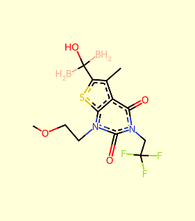 BC(B)(O)c1sc2c(c1C)c(=O)n(CC(F)(F)F)c(=O)n2CCOC